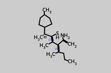 C=C(N)C(=C(/C)CCC)/C(C)=C(\S)[C@H](C)C1CCC(C)CC1